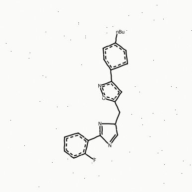 CCCCc1ccc(-c2cc(CC3C=NC(c4ccccc4F)=N3)on2)cc1